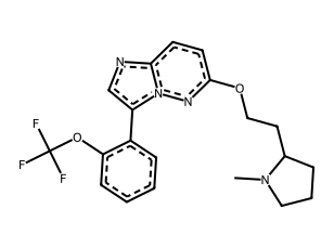 CN1CCCC1CCOc1ccc2ncc(-c3ccccc3OC(F)(F)F)n2n1